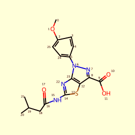 COc1ccc(-n2nc(C(=O)O)c3sc(NC(=O)CC(C)C)nc32)cc1